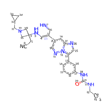 N#CCC1(N/C=C(\C=N)c2cnn3c(-c4cccc(NC(=O)NCC(F)(F)F)c4)cnc3c2)CN(CC2CC2)C1